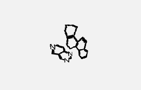 C1=CC2=C(CC1)CCc1c2ccc2ccccc12.c1cc2ncncc2cn1